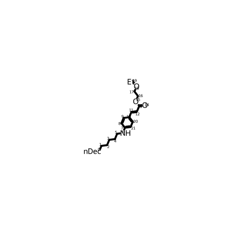 CCCCCCCCCCCCCCCNc1ccc(C=CC(=O)OCCOCC)cc1